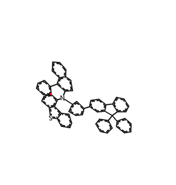 c1ccc(-c2c(N(c3cccc(-c4ccc5c(c4)C(c4ccccc4)(c4ccccc4)c4ccccc4-5)c3)c3cccc4sc5ccccc5c34)ccc3ccccc23)cc1